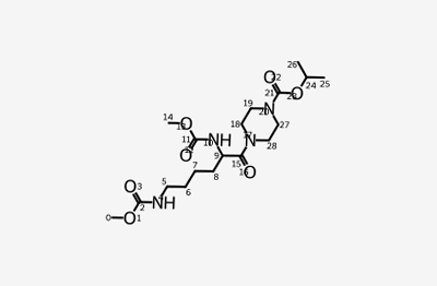 COC(=O)NCCCCC(NC(=O)OC)C(=O)N1CCN(C(=O)OC(C)C)CC1